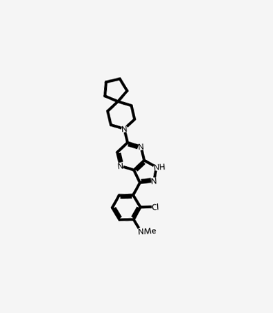 CNc1cccc(-c2n[nH]c3nc(N4CCC5(CCCC5)CC4)cnc23)c1Cl